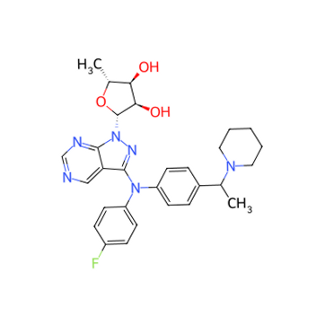 CC(c1ccc(N(c2ccc(F)cc2)c2nn([C@@H]3O[C@H](C)[C@@H](O)[C@H]3O)c3ncncc23)cc1)N1CCCCC1